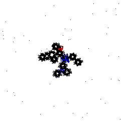 c1ccc(-c2cccc(-c3nc(-c4cc(C5CCc6cc7ccccc7cc6-c6ccccc65)c5c(c4)oc4ccccc45)nc(-c4ccc5c(c4)c4ccccc4n5-c4ccccc4)n3)c2)cc1